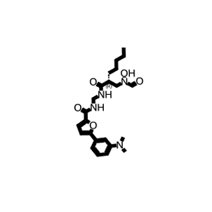 CCCCC[C@H](CN(O)C=O)C(=O)NCNC(=O)c1ccc(-c2cccc(N(C)C)c2)o1